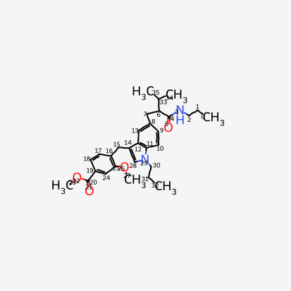 CCCNC(=O)C(Cc1ccc2c(c1)c(Cc1ccc(C(=O)OC)cc1OC)cn2CCC)C(C)C